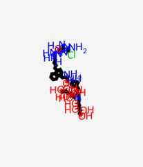 N=C(NCCCCc1ccc(C[C@H](N)C(=O)Nc2ccc(CCCN(C[C@H](O)C[C@H](O)[C@H](O)CO)CC(O)(O)[C@@H](O)[C@H](O)[C@H](O)CO)cc2)c2c1CCCC2)NC(=O)c1nc(Cl)c(N)nc1N